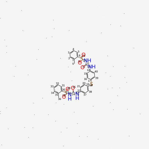 Cc1ccccc1S(=O)(=O)NC(=O)Nc1ccc(Sc2ccc(NC(=O)NS(=O)(=O)c3ccccc3C)cc2)cc1